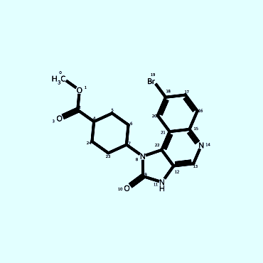 COC(=O)C1CCC(n2c(=O)[nH]c3cnc4ccc(Br)cc4c32)CC1